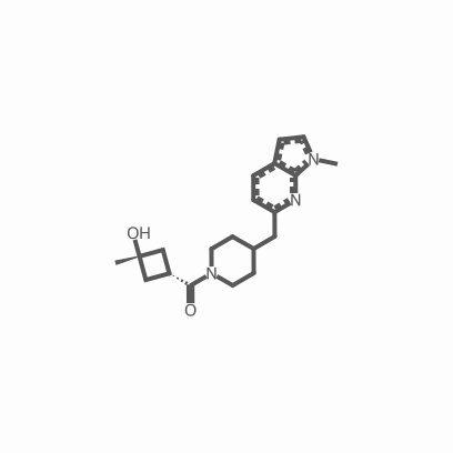 Cn1ccc2ccc(CC3CCN(C(=O)[C@H]4C[C@@](C)(O)C4)CC3)nc21